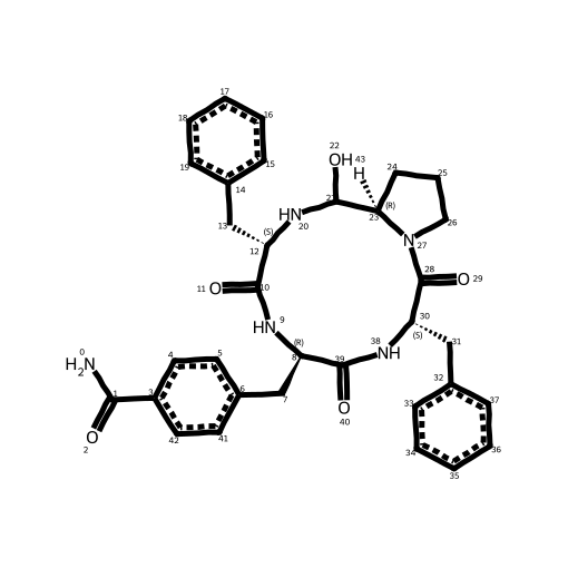 NC(=O)c1ccc(C[C@H]2NC(=O)[C@H](Cc3ccccc3)NC(O)[C@H]3CCCN3C(=O)[C@H](Cc3ccccc3)NC2=O)cc1